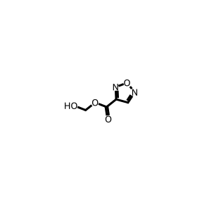 O=C(OCO)c1cnon1